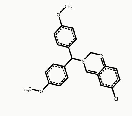 COc1ccc(C(c2ccc(OC)cc2)N2C=c3cc(Cl)ccc3=NC2)cc1